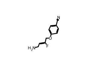 N#Cc1ccc(OCC(F)=CCN)cc1